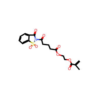 C=C(C)C(=O)OCCOC(=O)CCCC(=O)N1C(=O)c2ccccc2S1(=O)=O